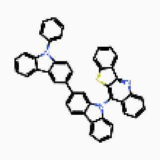 c1ccc(-n2c3ccccc3c3cc(-c4ccc5c6ccccc6n(-c6c7ccccc7nc7c6sc6ccccc67)c5c4)ccc32)cc1